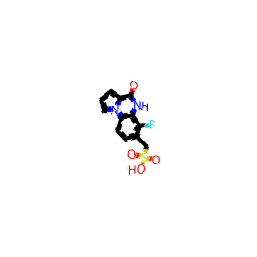 O=c1[nH]c2c(F)c(CS(=O)(=O)O)ccc2n2cccc12